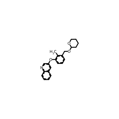 Cc1c(COC2CCCCO2)cccc1Oc1cnc2ccccc2c1